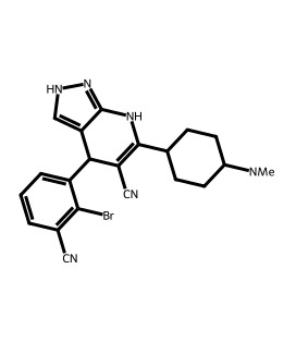 CNC1CCC(C2=C(C#N)C(c3cccc(C#N)c3Br)c3c[nH]nc3N2)CC1